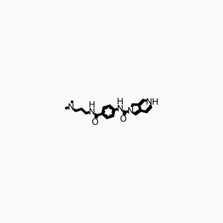 CN(C)CCCNC(=O)c1ccc(NC(=O)N2C=C3C=CNC=C3C2)cc1